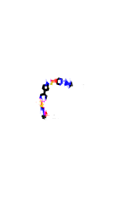 CCCc1cnc(N2CCC(Oc3nc4ccc(C5=CCN(S(=O)(=O)CCNC(=O)C(C)(C)OC(C)=O)CC5)cc4s3)CC2)nc1